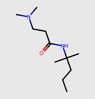 CCCC(C)(C)NC(=O)CCN(C)C